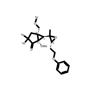 [2H]OC[C@@]12CC([2H])([2H])C(=O)[C@]1(OC)[C@@H]2C1(C)O[C@@H]1CCOc1ccccc1